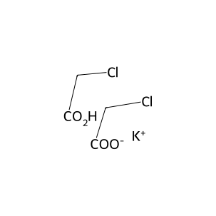 O=C(O)CCl.O=C([O-])CCl.[K+]